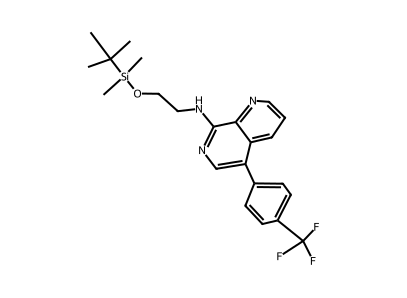 CC(C)(C)[Si](C)(C)OCCNc1ncc(-c2ccc(C(F)(F)F)cc2)c2cccnc12